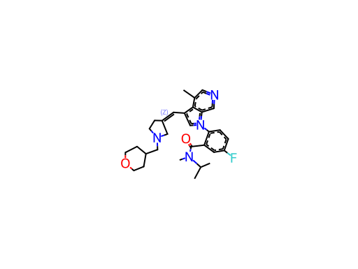 Cc1cncc2c1c(/C=C1/CCN(CC3CCOCC3)C1)cn2-c1ccc(F)cc1C(=O)N(C)C(C)C